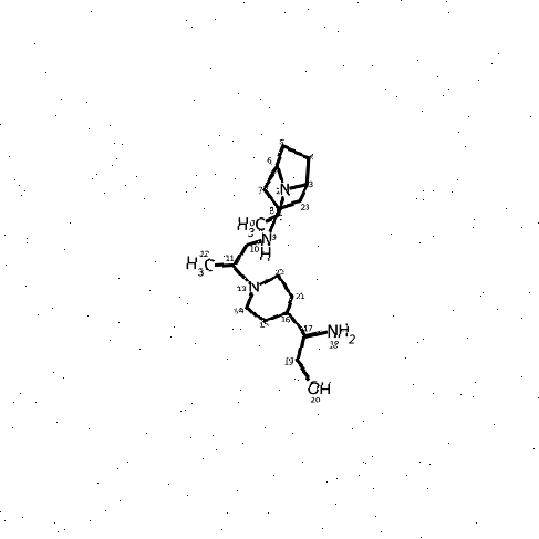 CCN1C2CCC1CC(NCC(C)N1CCC(C(N)CO)CC1)C2